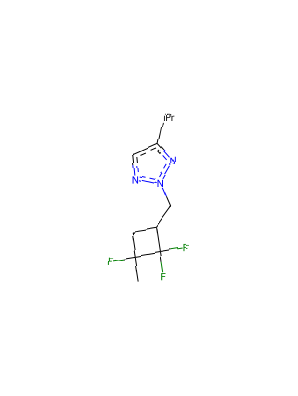 CC(C)c1cnn(CC2CC(C)(F)C2(F)F)n1